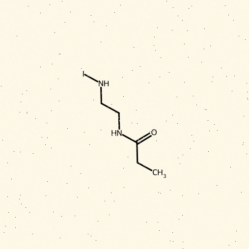 CCC(=O)NCCNI